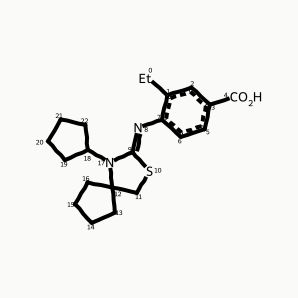 CCc1cc(C(=O)O)ccc1N=C1SCC2(CCCC2)N1C1CCCC1